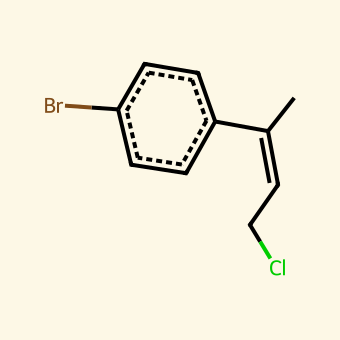 C/C(=C/CCl)c1ccc(Br)cc1